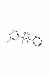 CC(C)(c1ccccn1)[C@](N)(I)c1cccc(F)c1